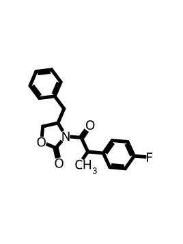 CC(C(=O)N1C(=O)OCC1Cc1ccccc1)c1ccc(F)cc1